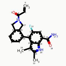 C=CC(=O)N1Cc2cccc(-c3c(F)cc(C(N)=O)c4[nH]c(C)c(C)c34)c2C1